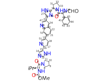 COC(=O)N[C@H](C(=O)N1CCC[C@H]1c1ncc(-c2ccc(-c3ccc4cc(-c5c[nH]c([C@@H]6CCCN6C(=O)[C@H](NC=O)c6ccccc6)n5)cnc4c3)cn2)[nH]1)C(C)C